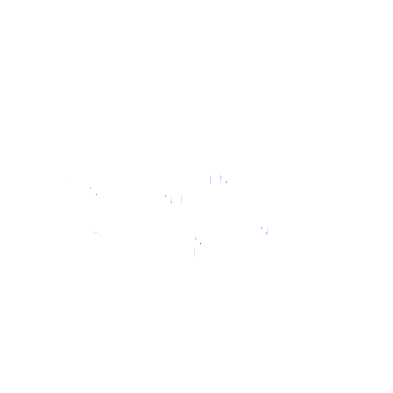 CCCCCCCCCCCC(NC1=NCCC1)NC1=NCC(C)(C)CN1